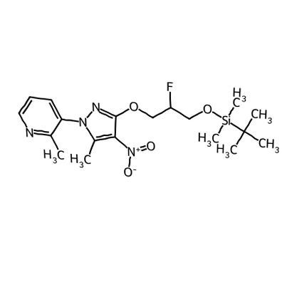 Cc1ncccc1-n1nc(OCC(F)CO[Si](C)(C)C(C)(C)C)c([N+](=O)[O-])c1C